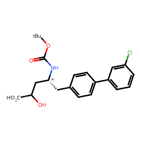 CC(C)(C)OC(=O)N[C@H](Cc1ccc(-c2cccc(Cl)c2)cc1)CC(O)C(=O)O